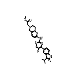 COC(=O)CN1CCc2nc(Nc3ncc(F)c(-c4ccc5nn(C)c(C(C)C)c5c4)n3)ccc2C1